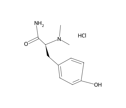 CN(C)[C@@H](Cc1ccc(O)cc1)C(N)=O.Cl